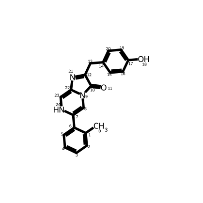 Cc1ccccc1-c1cn2c(=O)c(Cc3ccc(O)cc3)nc-2c[nH]1